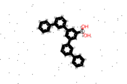 OB(O)c1cc(-c2cccc(-c3ccccc3)c2)cc(-c2cccc(-c3ccccc3)c2)c1